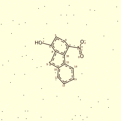 O=[N+]([O-])c1ccc(O)c2sc3ccccc3c12